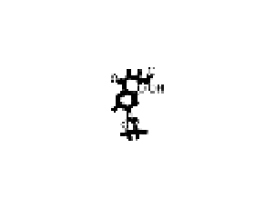 Cc1cc2c(cc1B1OC(C)(C)C(C)(C)O1)OC(C)(C(=O)O)C(C)C2=O